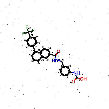 O=C(O)Nc1cccc(CNC(=O)c2ccc3c(-c4ccc(C(F)(F)F)cc4)cccc3c2)c1